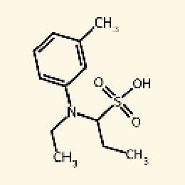 CCC(N(CC)c1cccc(C)c1)S(=O)(=O)O